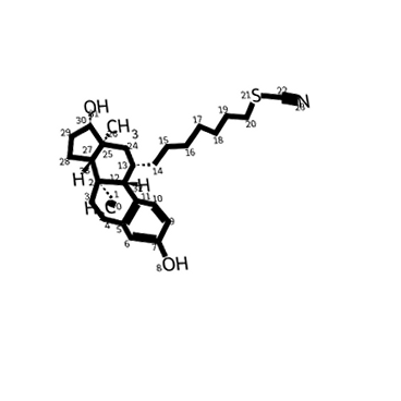 C=C[C@@]12CCc3cc(O)ccc3[C@H]1[C@@H](CCCCCCCSC#N)C[C@@]1(C)[C@H]2CC[C@@H]1O